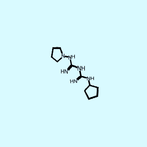 N=C(NC(=N)NN1CCCC1)NC1CCCC1